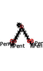 CCCCCC(CCCCC)CC(=O)OCCCCCCCCCC(CCCCCCCCCOC(=O)CC(CCCCC)CCCCC)OC1CCCC1